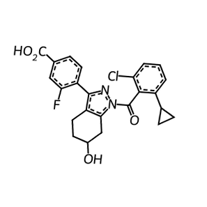 O=C(O)c1ccc(-c2nn(C(=O)c3c(Cl)cccc3C3CC3)c3c2CCC(O)C3)c(F)c1